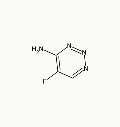 Nc1nnncc1F